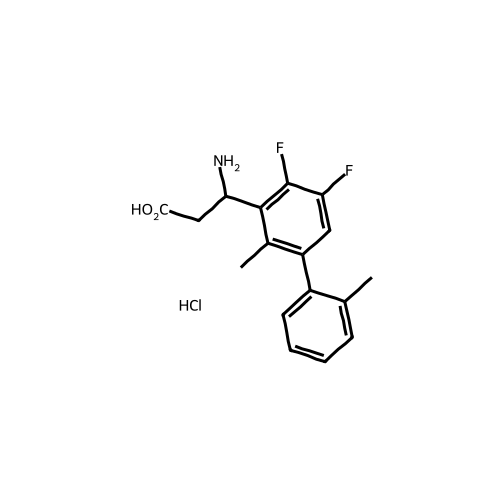 Cc1ccccc1-c1cc(F)c(F)c(C(N)CC(=O)O)c1C.Cl